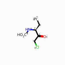 CC(C)C[C@H](NC(=O)O)C(=O)CCl